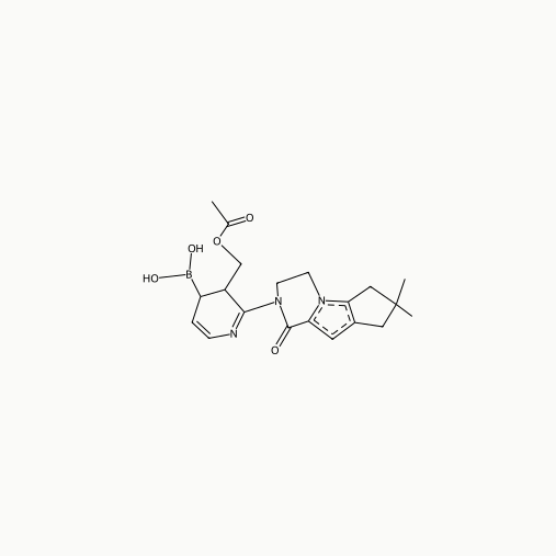 CC(=O)OCC1C(N2CCn3c(cc4c3CC(C)(C)C4)C2=O)=NC=CC1B(O)O